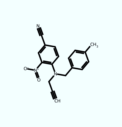 C#CCN(Cc1ccc(C)cc1)c1ccc(C#N)cc1[N+](=O)[O-]